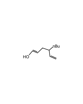 C=CC(C/C=C/O)CCCC